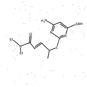 CCN(CC)C(=O)C=CC(C)Sc1nc(N)cc(SC)n1